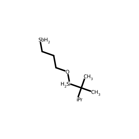 CC(C)C(C)(C)[SiH2]OCC[CH2][SbH2]